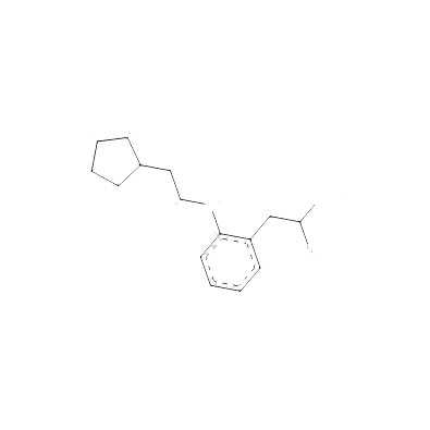 NC(Cc1ccccc1OCCC1CCCC1)C(=O)O